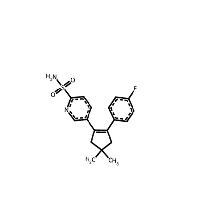 CC1(C)CC(c2ccc(F)cc2)=C(c2ccc(S(N)(=O)=O)nc2)C1